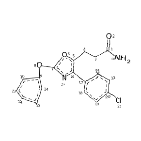 NC(=O)CCc1oc(Oc2ccccc2)nc1-c1ccc(Cl)cc1